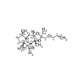 C=CCOCC1(C)O[C@H]2C[C@@]34C[C@H](C(C)(C)[C@@H]3CC[C@H]4C)[C@@]2(C)O1